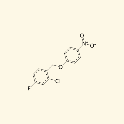 O=[N+]([O-])c1ccc(OCc2ccc(F)cc2Cl)cc1